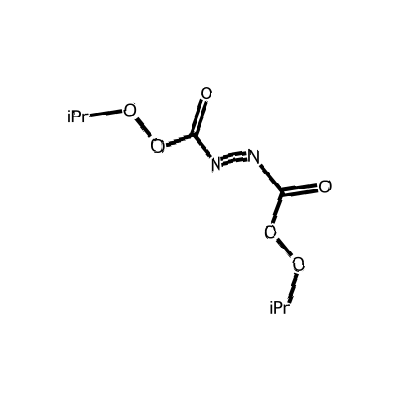 CC(C)OOC(=O)N=NC(=O)OOC(C)C